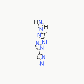 Cc1cc(Nc2nccc(-c3ccc(N(C)C)nc3)n2)cnc1N1C[C@@H]2C[C@H]1CN2C